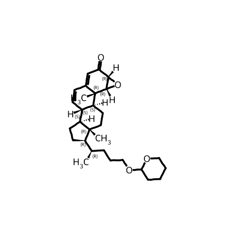 C[C@H](CCCOC1CCCCO1)[C@H]1CC[C@H]2[C@@H]3C=CC4=CC(=O)[C@@H]5O[C@@H]5[C@]4(C)[C@H]3CC[C@]12C